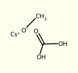 C[O-].O=C(O)O.[Cs+]